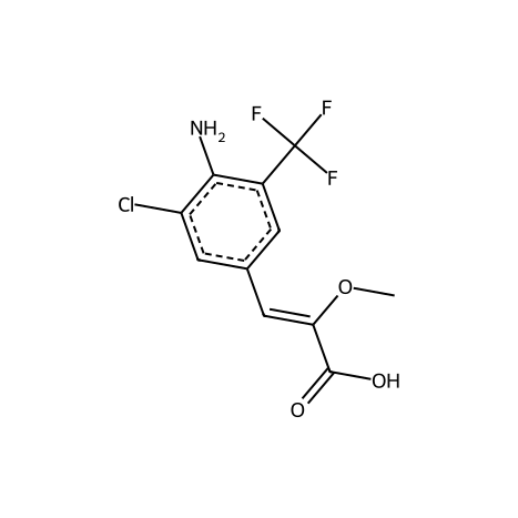 CO/C(=C\c1cc(Cl)c(N)c(C(F)(F)F)c1)C(=O)O